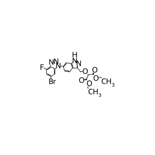 CCOC(=O)C(OCc1n[nH]c2cc(-n3nnc4c(F)cc(Br)cc43)ccc12)C(=O)OCC